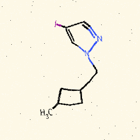 CC1CC(Cn2cc(I)cn2)C1